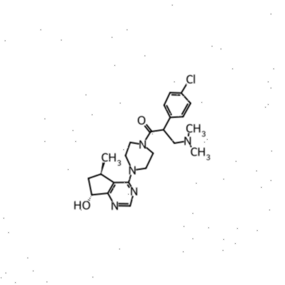 C[C@@H]1C[C@@H](O)c2ncnc(N3CCN(C(=O)C(CN(C)C)c4ccc(Cl)cc4)CC3)c21